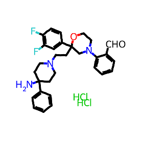 Cl.Cl.NC1(c2ccccc2)CCN(CCC2(c3ccc(F)c(F)c3)CN(c3ccccc3C=O)CCO2)CC1